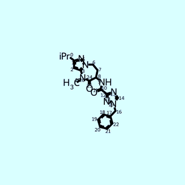 CC(C)c1cc2n(n1)CCC(NC(=O)c1ncn(Cc3ccccc3)n1)C(=O)N2C